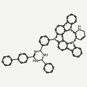 C1=Cc2c(n3c4ccccc4c4ccc5c(c6c(ccc7c8ccccc8n2c76)n5-c2cccc(C5N=C(c6ccc(-c7ccccc7)cc6)NC(c6ccccc6)N5)c2)c43)NC1